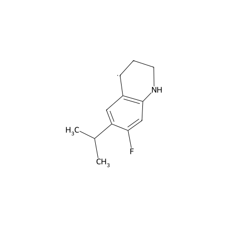 CC(C)c1cc2c(cc1F)NCC[CH]2